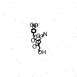 CN(C)CC[S+]([O-])C1=C(C(=O)OCc2ccc([N+](=O)[O-])cc2)N2C(=O)C(CCO)C2C1